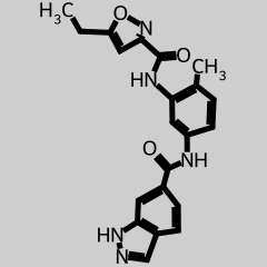 CCc1cc(C(=O)Nc2cc(NC(=O)c3ccc4cn[nH]c4c3)ccc2C)no1